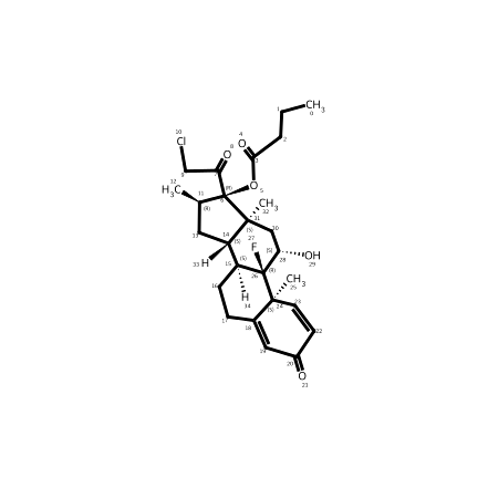 CCCC(=O)O[C@]1(C(=O)CCl)[C@H](C)C[C@H]2[C@@H]3CCC4=CC(=O)C=C[C@]4(C)[C@@]3(F)[C@@H](O)C[C@@]21C